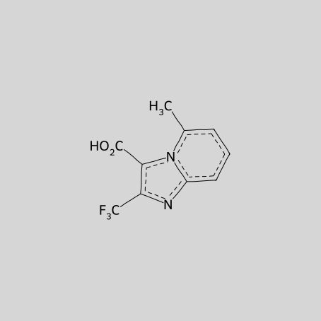 Cc1cccc2nc(C(F)(F)F)c(C(=O)O)n12